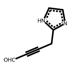 O=[C]C#CCc1ncc[nH]1